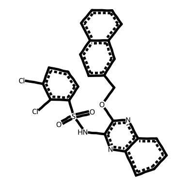 O=S(=O)(Nc1nc2ccccc2nc1OCc1ccc2ccccc2c1)c1cccc(Cl)c1Cl